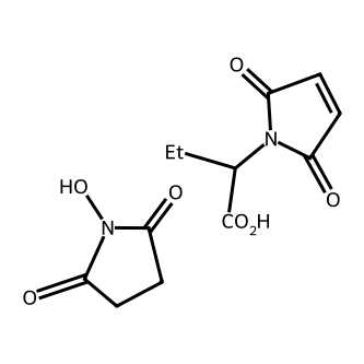 CCC(C(=O)O)N1C(=O)C=CC1=O.O=C1CCC(=O)N1O